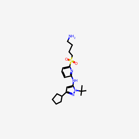 CC(C)(C)n1nc(C2CCCC2)cc1Nc1cccc(S(=O)(=O)CCCCN)n1